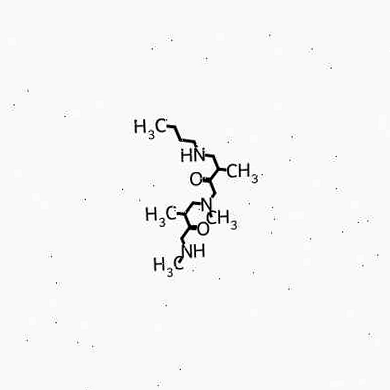 CCCCNCC(C)C(=O)CN(C)CC(C)C(=O)CNC